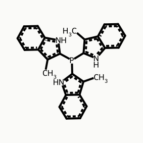 Cc1c(P(c2[nH]c3ccccc3c2C)c2[nH]c3ccccc3c2C)[nH]c2ccccc12